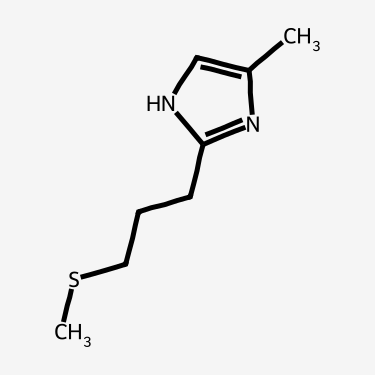 CSCCCc1nc(C)c[nH]1